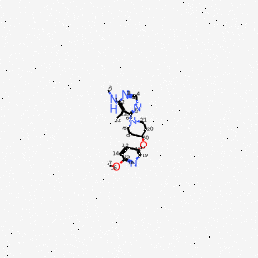 CNc1ncnc(N2CCC(Oc3ccc(OC)nc3)CC2)c1C